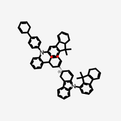 CC1(C)C2=C(C=CCC2)c2cccc(-n3c4c(c5ccccc53)C[C@H](C3=CC=CC(c5ccccc5N(c5ccc(C6C=CC=CC6)cc5)c5ccc6c(c5)C5=CC=CCC5C6(C)C)C3)C=C4)c21